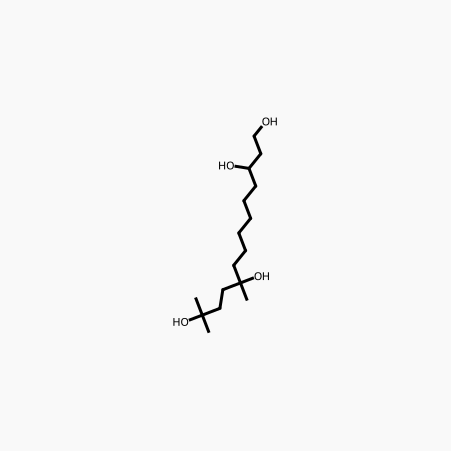 CC(C)(O)CCC(C)(O)CCCCCCC(O)CCO